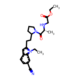 CCOC(=O)CN[C@H](C)C(=O)N1CCCC1CCc1cc2ccc(C#N)cc2n1CC